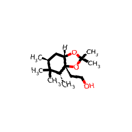 C[C@@H]1C(C)(C)[C@@H](C)C[C@@H]2OC(C)(C)O[C@@]21CCO